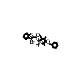 Cc1nc(NC(=O)c2sc3ccccc3c2Br)c(C)c(C)c1OCc1ccccc1